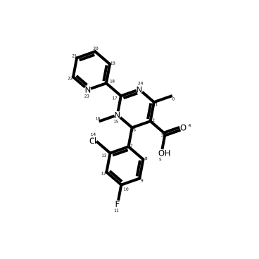 CC1=C(C(=O)O)C(c2ccc(F)cc2Cl)N(C)C(c2ccccn2)=N1